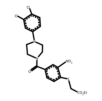 CCOC(=O)CSc1ccc(C(=O)N2CCN(c3ccc(Cl)c(Cl)c3)CC2)cc1[N+](=O)[O-]